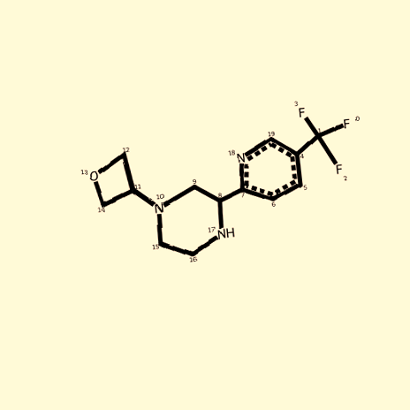 FC(F)(F)c1ccc(C2CN(C3COC3)CCN2)nc1